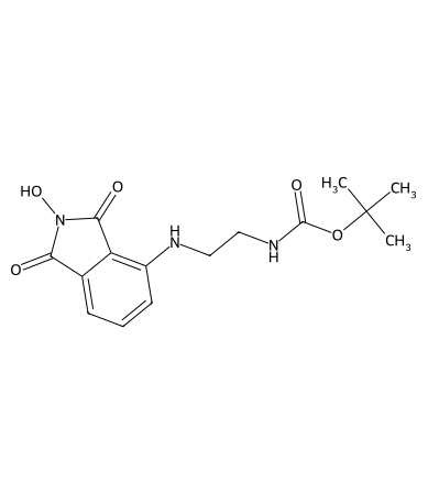 CC(C)(C)OC(=O)NCCNc1cccc2c1C(=O)N(O)C2=O